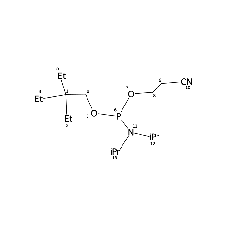 CCC(CC)(CC)COP(OCCC#N)N(C(C)C)C(C)C